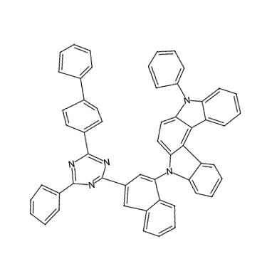 c1ccc(-c2ccc(-c3nc(-c4ccccc4)nc(-c4cc(-n5c6ccccc6c6c7c8ccccc8n(-c8ccccc8)c7ccc65)c5ccccc5c4)n3)cc2)cc1